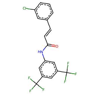 O=C(C=Cc1cccc(Cl)c1)Nc1cc(C(F)(F)F)cc(C(F)(F)F)c1